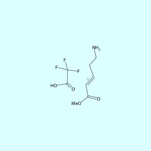 COC(=O)/C=C/CCN.O=C(O)C(F)(F)F